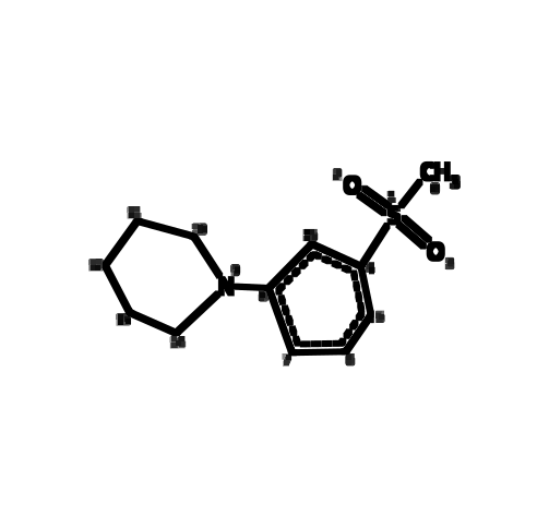 CS(=O)(=O)c1[c]ccc(N2CCCCC2)c1